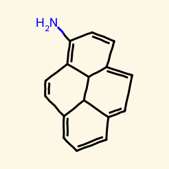 NC1=C2C=CC3=CC=CC4=CC=C(C=C1)C2C34